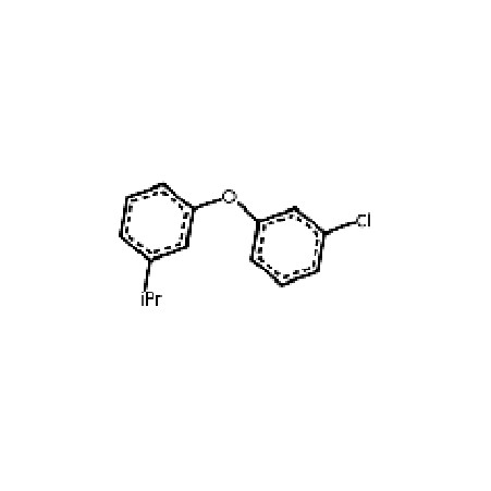 CC(C)c1cccc(Oc2cccc(Cl)c2)c1